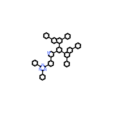 c1ccc(-c2ccc3c(-c4cc(-c5cncc(-c6cccc(-c7nc(-c8ccccc8)nc(-c8ccccc8)n7)c6)c5)cc(-c5cc(-c6ccccc6)cc6cc(-c7ccccc7)ccc56)c4)cc(-c4ccccc4)cc3c2)cc1